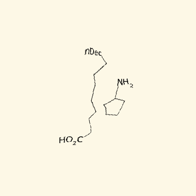 CCCCCCCCCCCCCCCCCC(=O)O.NC1CCCC1